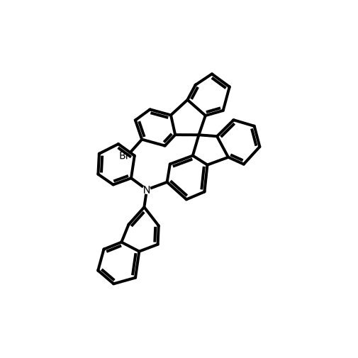 Brc1ccc2c(c1)C1(c3ccccc3-2)c2ccccc2-c2ccc(N(c3ccccc3)c3ccc4ccccc4c3)cc21